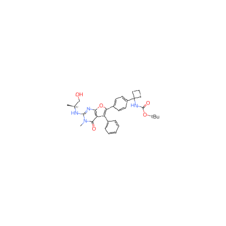 C[C@@H](CO)Nc1nc2oc(-c3ccc(C4(NC(=O)OC(C)(C)C)CCC4)cc3)c(-c3ccccc3)c2c(=O)n1C